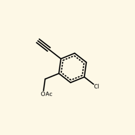 C#Cc1ccc(Cl)cc1COC(C)=O